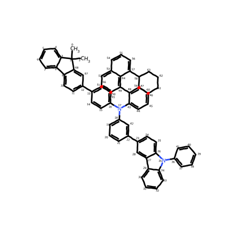 CC1(C)c2ccccc2-c2ccc(-c3ccc(N(c4cccc(-c5ccc6c(c5)c5ccccc5n6-c5ccccc5)c4)c4ccccc4-c4cccc5cccc(C6CCCCC6)c45)cc3)cc21